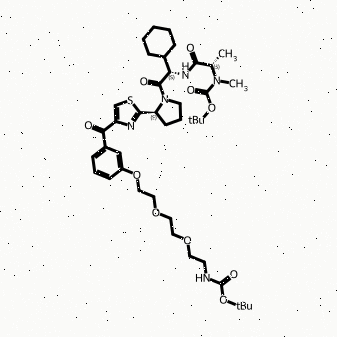 C[C@@H](C(=O)N[C@H](C(=O)N1CCC[C@H]1c1nc(C(=O)c2cccc(OCCOCCOCCNC(=O)OC(C)(C)C)c2)cs1)C1CCCCC1)N(C)C(=O)OC(C)(C)C